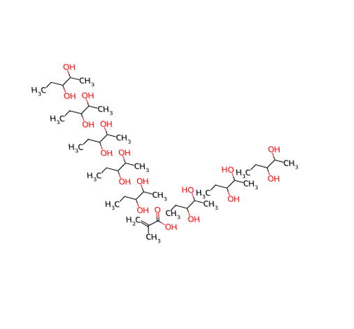 C=C(C)C(=O)O.CCC(O)C(C)O.CCC(O)C(C)O.CCC(O)C(C)O.CCC(O)C(C)O.CCC(O)C(C)O.CCC(O)C(C)O.CCC(O)C(C)O.CCC(O)C(C)O